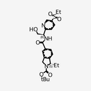 CC[C@H]1c2ccc(C(=O)N[C@@H](CO)c3ccc(S(=O)(=O)CC)cn3)cc2CN1C(=O)OC(C)(C)C